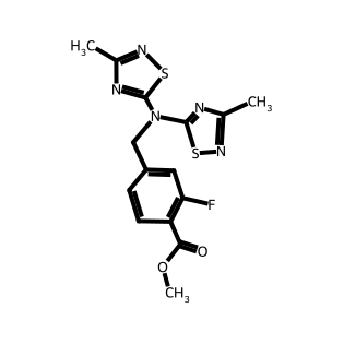 COC(=O)c1ccc(CN(c2nc(C)ns2)c2nc(C)ns2)cc1F